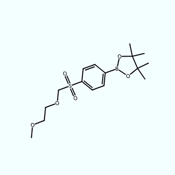 COCCOCS(=O)(=O)c1ccc(B2OC(C)(C)C(C)(C)O2)cc1